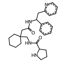 O=C(CC1(CNC(=O)C2CCCN2)CCCCC1)NC(Cc1ccccn1)c1ccccc1